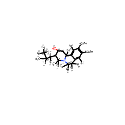 [2H]c1c(OC)c(OC)c([2H])c2c1C1([2H])CC(O)C(C([2H])([2H])C([2H])(C)C([2H])([2H])[2H])C([2H])([2H])N1C([2H])([2H])C2([2H])[2H]